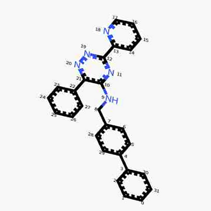 c1ccc(-c2ccc(CNc3nc(-c4ccccn4)nnc3-c3ccccc3)cc2)cc1